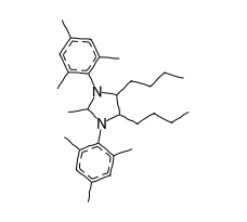 CCCCC1C(CCCC)N(c2c(C)cc(C)cc2C)C(C)N1c1c(C)cc(C)cc1C